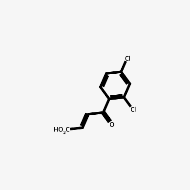 O=C(O)C=CC(=O)c1ccc(Cl)cc1Cl